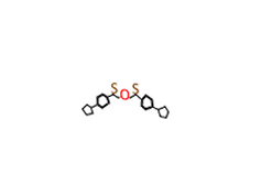 S=C(COCC(=S)c1ccc(C2CCCC2)cc1)c1ccc(C2CCCC2)cc1